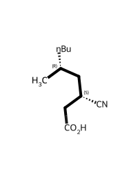 CCCC[C@@H](C)C[C@H](C#N)CC(=O)O